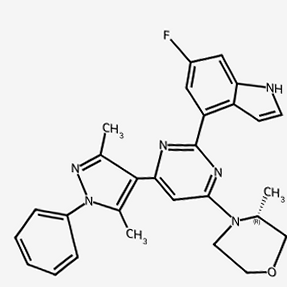 Cc1nn(-c2ccccc2)c(C)c1-c1cc(N2CCOC[C@H]2C)nc(-c2cc(F)cc3[nH]ccc23)n1